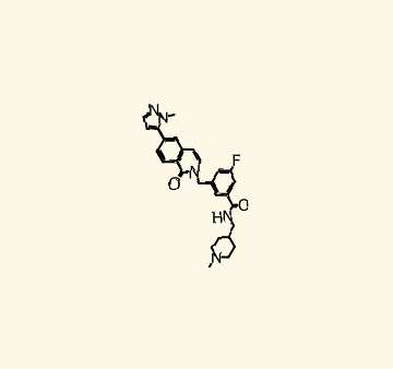 CN1CCC(CNC(=O)c2cc(F)cc(Cn3ccc4cc(-c5ccnn5C)ccc4c3=O)c2)CC1